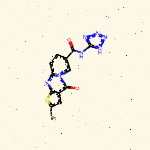 CC(C)c1cc2c(=O)n3cc(C(=O)Nc4nnn[nH]4)ccc3nc2s1